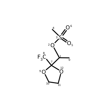 CC(OS(C)(=O)=O)C1(C(F)(F)F)OCCO1